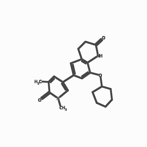 Cc1cc(-c2cc3c(c(OC4CCCCC4)c2)NC(=O)CC3)cn(C)c1=O